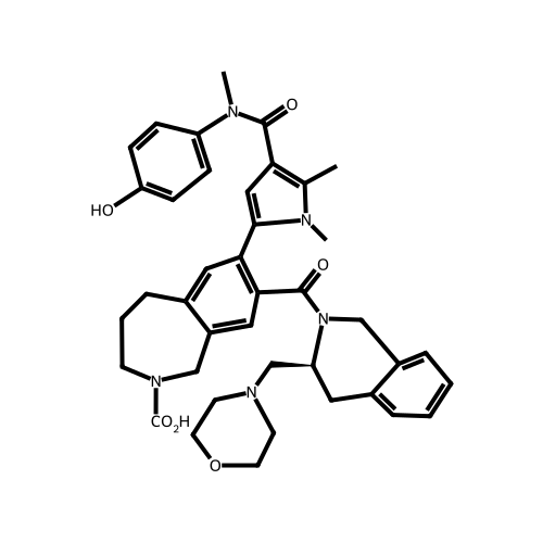 Cc1c(C(=O)N(C)c2ccc(O)cc2)cc(-c2cc3c(cc2C(=O)N2Cc4ccccc4C[C@H]2CN2CCOCC2)CN(C(=O)O)CCC3)n1C